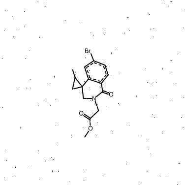 COC(=O)CN1CC2(CC2C)c2cc(Br)ccc2C1=O